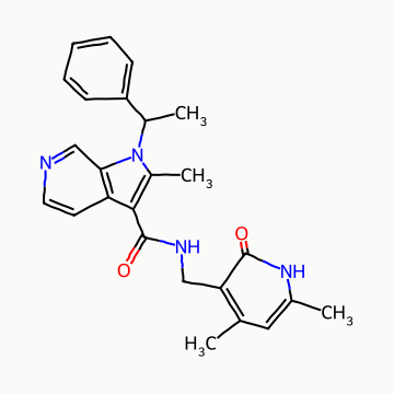 Cc1cc(C)c(CNC(=O)c2c(C)n(C(C)c3ccccc3)c3cnccc23)c(=O)[nH]1